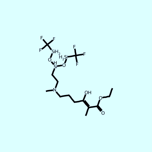 CCOC(=O)C(C)=C(O)CCCN(C)CC[SiH](O[SiH2]C(F)(F)F)O[SiH2]C(F)(F)F